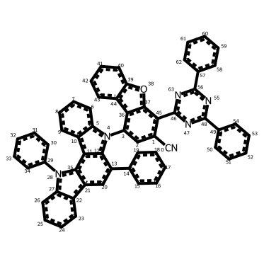 N#Cc1cc(-n2c3ccccc3c3c2c(-c2ccccc2)cc2c4ccccc4n(-c4ccccc4)c23)c2c(oc3ccccc32)c1-c1nc(-c2ccccc2)nc(-c2ccccc2)n1